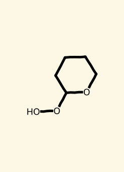 OOC1CCCCO1